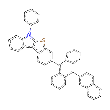 c1ccc(-n2c3ccccc3c3c4ccc(-c5c6ccccc6c(-c6ccc7ccccc7c6)c6ccccc56)cc4sc32)cc1